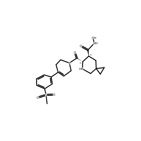 CS(=O)(=O)c1cccc(C2=CCN(C(=O)[C@H]3NCC4(CC4)C[C@@H]3C(=O)NO)CC2)c1